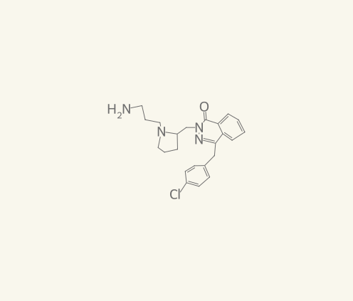 NCCCN1CCCC1Cn1nc(Cc2ccc(Cl)cc2)c2ccccc2c1=O